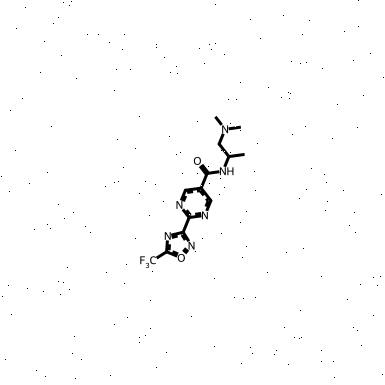 CC(CN(C)C)NC(=O)c1cnc(-c2noc(C(F)(F)F)n2)nc1